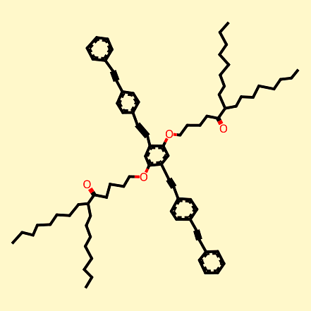 CCCCCCCCC(CCCCCCCC)C(=O)CCCCOc1cc(C#Cc2ccc(C#Cc3ccccc3)cc2)c(OCCCCC(=O)C(CCCCCCCC)CCCCCCCC)cc1C#Cc1ccc(C#Cc2ccccc2)cc1